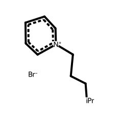 CC(C)CCC[n+]1ccccc1.[Br-]